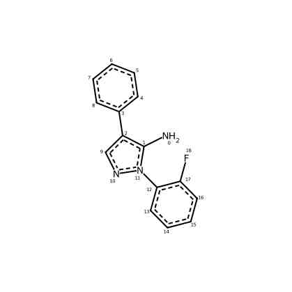 Nc1c(-c2ccccc2)cnn1-c1ccccc1F